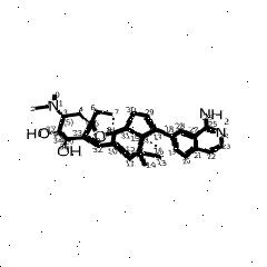 CN(C)[C@H]1C[C@@]23CC[C@@]4(O2)C(=CC(C)(C)[C@]2(C)C(c5ccc6ccnc(N)c6c5)=CCC42)C=C3[C@@H](O)[C@@H]1O